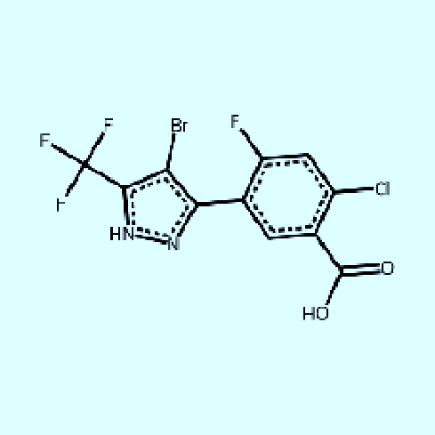 O=C(O)c1cc(-c2n[nH]c(C(F)(F)F)c2Br)c(F)cc1Cl